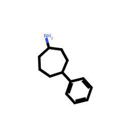 NC1CCCC(c2ccccc2)CC1